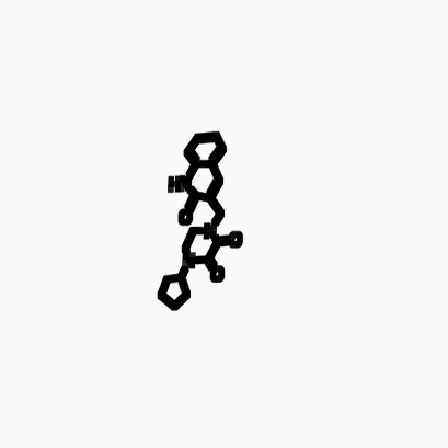 O=C1C(=O)N(C2CCCC2)CCN1Cc1cc2ccccc2[nH]c1=O